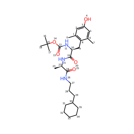 Cc1cc(O)cc(C)c1C[C@H](NC(=O)OC(C)(C)C)C(=O)N[C@H](C)C(=O)NCCCC1CCCCC1